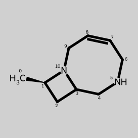 C[C@@H]1CC2CNC/C=C\CN21